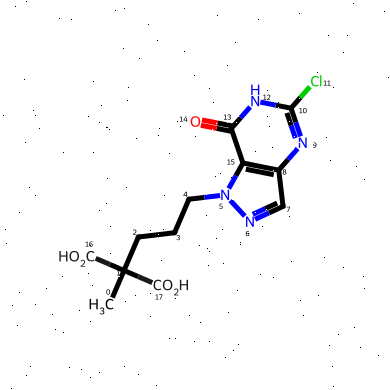 CC(CCCn1ncc2nc(Cl)[nH]c(=O)c21)(C(=O)O)C(=O)O